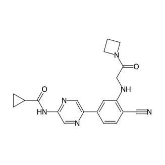 N#Cc1ccc(-c2cnc(NC(=O)C3CC3)cn2)cc1NCC(=O)N1CCC1